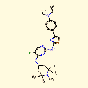 CCN(CC)c1ccc(-c2csc(Nc3ncc(F)c(NC4CC(C)(C)N(C)C(C)(C)C4)n3)n2)cc1